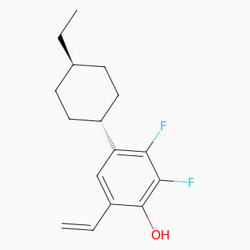 C=Cc1cc([C@H]2CC[C@H](CC)CC2)c(F)c(F)c1O